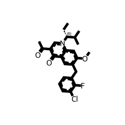 CC[C@H](C(C)C)n1cc(C(C)=O)c(=O)c2cc(Cc3cccc(Cl)c3F)c(OC)cc21